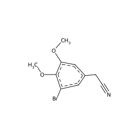 COc1cc(CC#N)cc(Br)c1OC